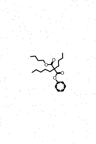 CCCCCC(CCCC)(C(=O)OCCCC)C(=O)Oc1ccccc1